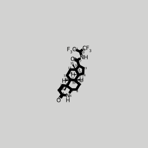 C[C@]12C=CC(=O)NC1CC[C@@H]1[C@H]2CC[C@]2(C)C(C(=O)NC(C(F)(F)F)C(F)(F)F)CC[C@@H]12